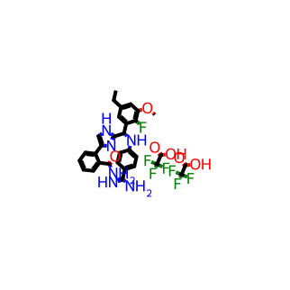 CCc1cc(OC)c(F)c(C(Nc2ccc(C(=N)N)cc2)c2nc(-c3ccccc3C(N)=O)c[nH]2)c1.O=C(O)C(F)(F)F.O=C(O)C(F)(F)F